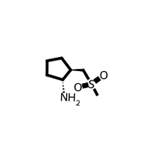 CS(=O)(=O)C[C@@H]1CCC[C@H]1N